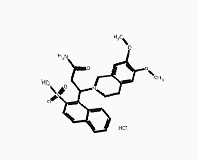 COc1cc2c(cc1OC)CN(C(CC(N)=O)c1c(S(=O)(=O)O)ccc3ccccc13)CC2.Cl